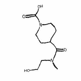 CN(CCO)C(=O)C1CCN(C(=O)O)CC1